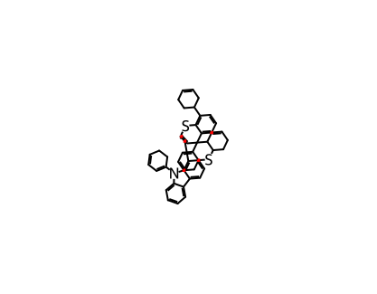 C1=CCCC(n2c3ccccc3c3cccc(C4CC=CC5=C4C4(C6=CC=CCC6SC6CCC=CC64)c4cccc(C6CC=CCC6)c4S5)c32)=C1